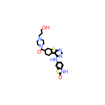 O=C(C1CCc2c(sc3ncnc(Nc4ccc5[nH]c(=O)sc5c4)c23)C1)N1CCN(CCCO)CC1